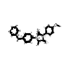 COc1ccc(N2C(=O)C(C)N(c3ccc(Cc4ccccc4)cc3)C2=S)cc1